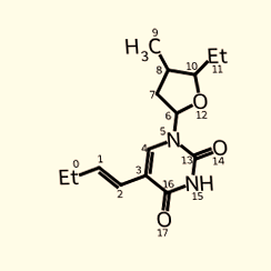 CC/C=C/c1cn(C2CC(C)C(CC)O2)c(=O)[nH]c1=O